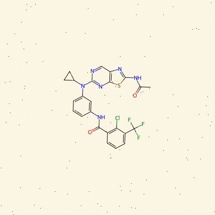 CC(=O)Nc1nc2cnc(N(c3cccc(NC(=O)c4cccc(C(F)(F)F)c4Cl)c3)C3CC3)nc2s1